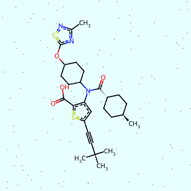 Cc1nsc(OC2CCC(N(c3cc(C#CC(C)(C)C)sc3C(=O)O)C(=O)[C@H]3CC[C@H](C)CC3)CC2)n1